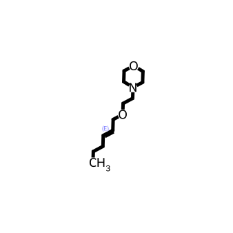 CCC/C=C/COCCN1CCOCC1